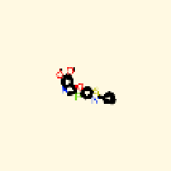 COc1cc2nccc(Oc3cc4sc(-c5[c]cccc5)nc4cc3F)c2cc1OC